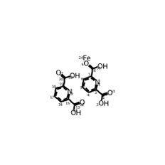 O=C(O)c1cccc(C(=O)O)n1.O=C(O)c1cccc(C(=O)O)n1.[Fe]